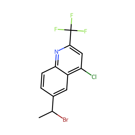 CC(Br)c1ccc2nc(C(F)(F)F)cc(Cl)c2c1